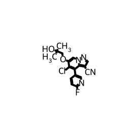 CC(C)(O)COc1cn2ncc(C#N)c2c(-c2ccc(F)nc2)c1Cl